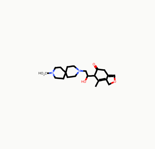 CC1=C2COC=C2CC(=O)C1C(O)CN1CCC2(CC1)CCN(C(=O)O)CC2